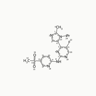 Cc1ncc(-c2nc(Nc3ccc(S(C)(=O)=O)cn3)ncc2F)n1C(C)C